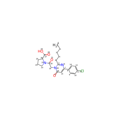 CCCCCc1nc(-c2ccc(Cl)cc2)cc(=O)n1CC(=O)N1CCCC1C(=O)O